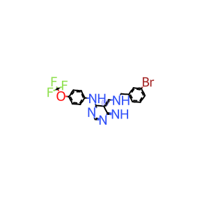 N=C1N=CN=C(Nc2ccc(OC(F)(F)F)cc2)/C1=C/NCc1cccc(Br)c1